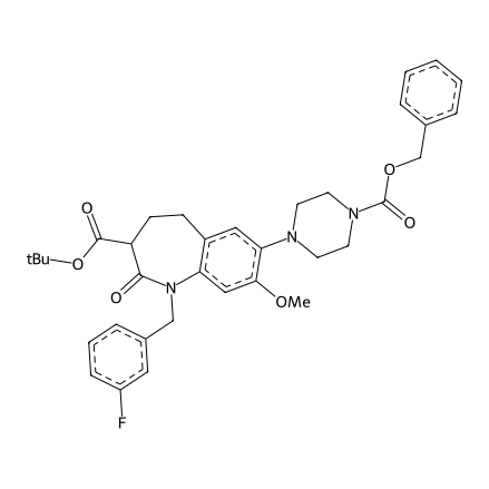 COc1cc2c(cc1N1CCN(C(=O)OCc3ccccc3)CC1)CCC(C(=O)OC(C)(C)C)C(=O)N2Cc1cccc(F)c1